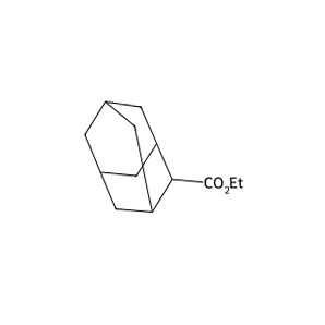 CCOC(=O)C1C2CC3CC(C2)CC1C3